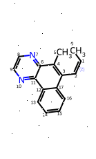 C/C=C\c1c(C)c2nccnc2c2ccccc12